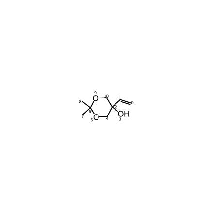 C=CC1(O)COC(C)(C)OC1